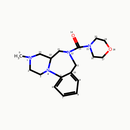 CN1CCN2c3ccccc3CN(C(=O)N3CCOCC3)CC2C1